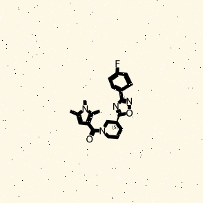 Cc1cc(C(=O)N2CCC[C@H](c3nc(-c4ccc(F)cc4)no3)C2)c(C)n1C